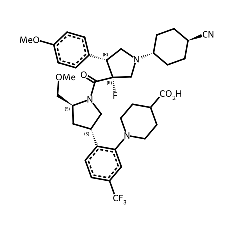 COC[C@@H]1C[C@@H](c2ccc(C(F)(F)F)cc2N2CCC(C(=O)O)CC2)CN1C(=O)[C@]1(F)CN([C@H]2CC[C@H](C#N)CC2)C[C@H]1c1ccc(OC)cc1